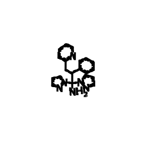 NC(C(Cc1ccccn1)c1ccccc1)(n1cccn1)n1cccn1